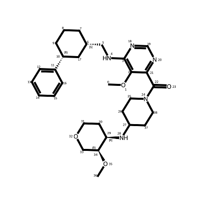 COc1c(NC[C@H]2CCC[C@@H](c3ccccc3)C2)ncnc1C(=O)N1CCC(N[C@@H]2CCOC[C@@H]2OC)CC1